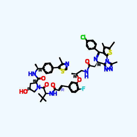 Cc1ncsc1-c1ccc([C@H](C)NC(=O)[C@@H]2C[C@@H](O)CN2C(=O)C(NC(=O)/C=C/c2ccc(F)c(O[C@@H](C)CNC(=O)C[C@@H]3N=C(c4ccc(Cl)cc4)c4c(sc(C)c4C)-n4c(C)nnc43)c2)C(C)(C)C)cc1